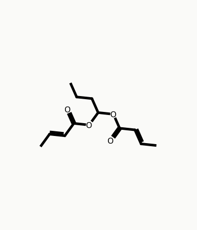 CC=CC(=O)OC(CCC)OC(=O)C=CC